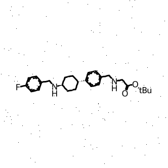 CC(C)(C)OC(=O)CNCc1ccc([C@H]2CC[C@H](NCc3ccc(F)cc3)CC2)cc1